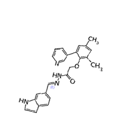 Cc1cc(C)c(OCC(=O)N/N=C/c2ccc3cc[nH]c3c2)c(-c2cccnc2)c1